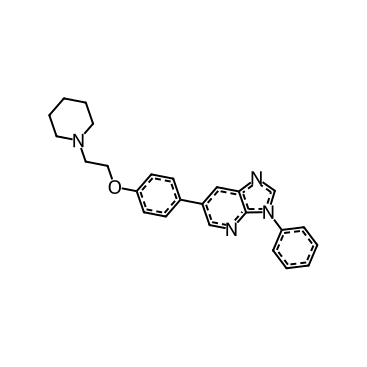 c1ccc(-n2cnc3cc(-c4ccc(OCCN5CCCCC5)cc4)cnc32)cc1